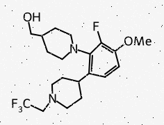 COc1ccc(C2CCN(CC(F)(F)F)CC2)c(N2CCC(CO)CC2)c1F